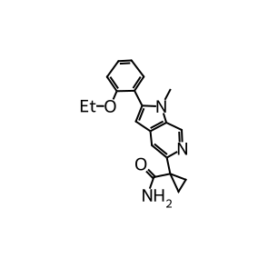 CCOc1ccccc1-c1cc2cc(C3(C(N)=O)CC3)ncc2n1C